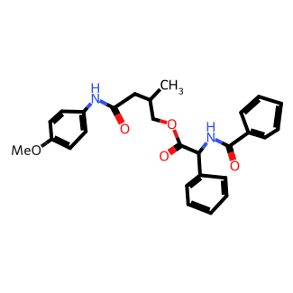 COc1ccc(NC(=O)CC(C)COC(=O)C(NC(=O)c2ccccc2)c2ccccc2)cc1